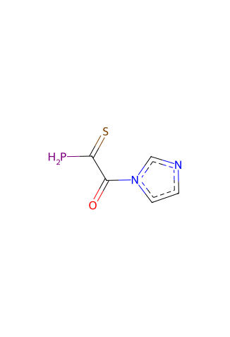 O=C(C(P)=S)n1ccnc1